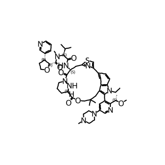 CCn1c(-c2cc(N3CCN(C)CC3)cnc2[C@H](C)OC)c2c3cc(ccc31)-c1csc(n1)C[C@H](NC(=O)[C@H](C(C)C)N(C)C(=O)[C@@H]1OCC[C@@H]1c1cccnc1)C(=O)N1CCC[C@H](N1)C(=O)OCC(C)(C)C2